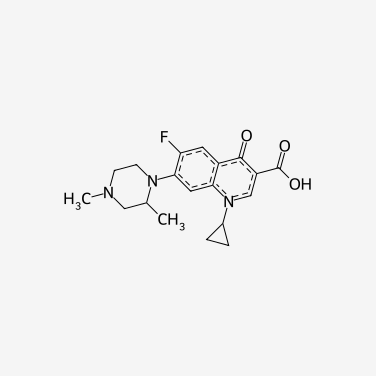 CC1CN(C)CCN1c1cc2c(cc1F)c(=O)c(C(=O)O)cn2C1CC1